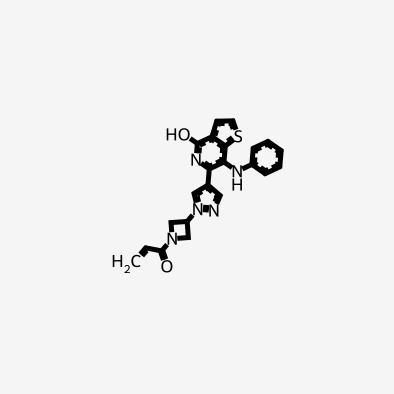 C=CC(=O)N1CC(n2cc(-c3nc(O)c4ccsc4c3Nc3ccccc3)cn2)C1